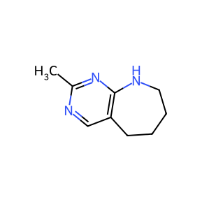 Cc1ncc2c(n1)NCCCC2